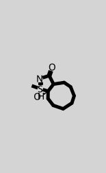 CS1(=O)=NC(=O)C2CCCCCCC[C@H]21